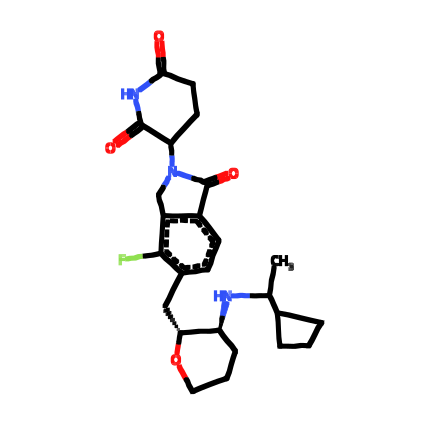 CC(N[C@H]1CCCO[C@@H]1Cc1ccc2c(c1F)CN(C1CCC(=O)NC1=O)C2=O)C1CCC1